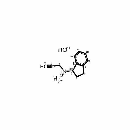 C#CCN(C)[C@@H]1CCc2ccccc21.Cl